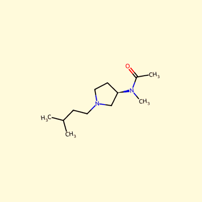 CC(=O)N(C)[C@@H]1CCN(CCC(C)C)C1